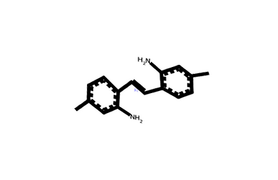 Cc1ccc(/C=C/c2ccc(C)cc2N)c(N)c1